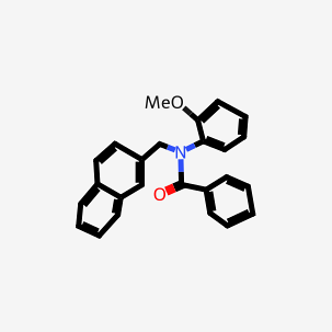 COc1ccccc1N(Cc1ccc2ccccc2c1)C(=O)c1ccccc1